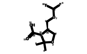 CC1(C)OC[C@H](COC(F)F)N1C(=O)O